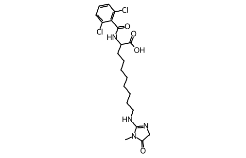 CN1C(=O)CN=C1NCCCCCCCCC(NC(=O)c1c(Cl)cccc1Cl)C(=O)O